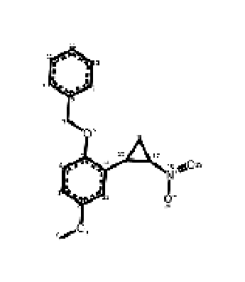 COc1ccc(OCc2ccccc2)c(C2CC2[N+](=O)[O-])c1